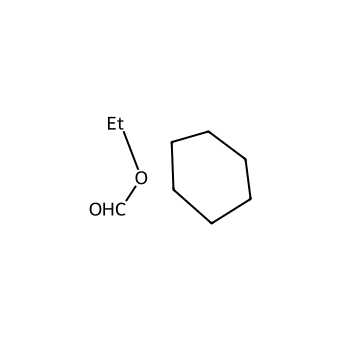 C1CCCCC1.CCOC=O